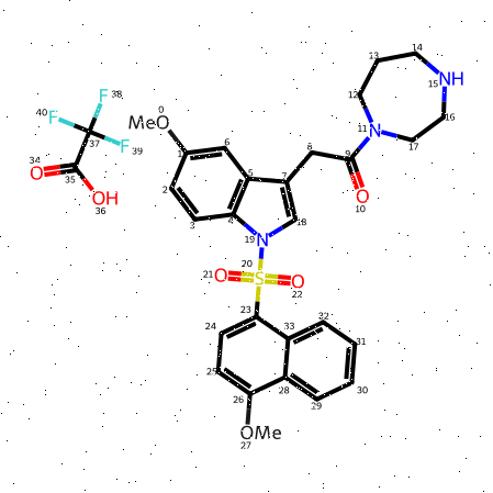 COc1ccc2c(c1)c(CC(=O)N1CCCNCC1)cn2S(=O)(=O)c1ccc(OC)c2ccccc12.O=C(O)C(F)(F)F